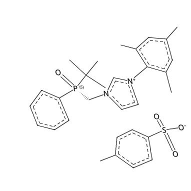 Cc1cc(C)c(-[n+]2ccn(C[P@@](=O)(c3ccccc3)C(C)(C)C)c2)c(C)c1.Cc1ccc(S(=O)(=O)[O-])cc1